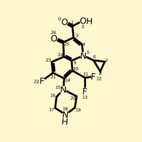 O=C(O)c1cn(C2CC2)c2c(C(F)F)c(N3CCNCC3)c(F)cc2c1=O